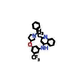 Cc1cc(Nc2cc(OC3CCN(Cc4ccccc4)C3)cc(C(F)(F)F)c2)c2ccccc2n1